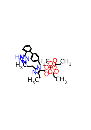 CCCc1nc(CC)c(C(=O)OC(OC)(OC(=O)CC)OC(=O)CC)n1Cc1ccc(-c2ccccc2-c2nnn[nH]2)cc1